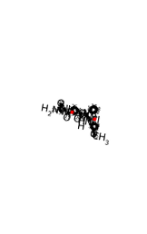 COc1ccc(Cl)c(Nc2nc3ccccc3nc2NS(=O)(=O)c2cccc(C(=O)N3CC(N)C(=O)N3)c2)c1